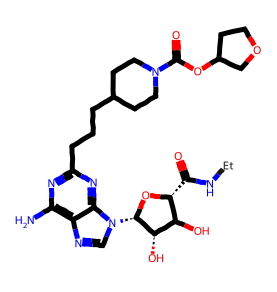 CCNC(=O)[C@H]1O[C@@H](n2cnc3c(N)nc(CCCC4CCN(C(=O)OC5CCOC5)CC4)nc32)[C@@H](O)C1O